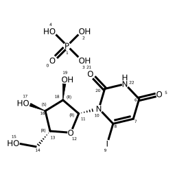 O=P(O)(O)O.O=c1cc(I)n([C@@H]2O[C@H](CO)[C@@H](O)[C@H]2O)c(=O)[nH]1